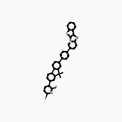 CC1(C)c2cc(-c3ccc(-c4ccc5nc6c7ccccc7sc6n5c4)cc3)ccc2-c2ccc(-c3ccc(F)nc3F)cc21